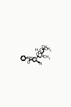 CN(CC(=O)N1CC(C(=O)Nc2ccccc2)CC1C#N)C(=O)CC(C)(C)C